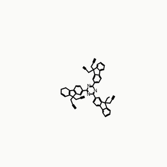 C#CCC1(CC#C)C2=C(CCC=C2)c2ccc(-c3nc(-c4ccc5c(c4)C(CC)(CC#C)c4ccccc4-5)nc(-c4ccc5c(c4)C(CC#C)(CC#C)c4ccccc4-5)n3)cc21